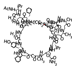 CCCC[C@H](NCN[C@@H](C)C(=O)CCN[C@@H](C)C(=O)CC(=O)[C@]1(C)CCC/C=C/CCCCCC[C@@](C)(NN[C@@H](Cc2ccccc2)C(=O)C(=O)[C@@H](NC(=O)[C@H](CC(C)C)NC(C)=O)[C@@H](C)O)C(=O)CN[C@@H](C)C(=O)CN[C@@H](Cc2ccc(O)cc2)C(=O)N[C@@H](Cc2c[nH]c3ccccc23)C(=O)CC(=O)[C@H](C)NCC(=O)[C@H](CCC(N)=O)NN[C@@H](CC(C)C)C(=O)N1)C(=O)CN[C@@H](C)C(=O)CN